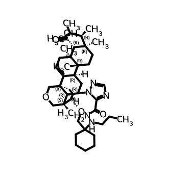 CCCNC1(CO[C@H]2[C@H](n3ncnc3C(N)=O)C[C@@]34COC[C@]2(C)[C@@H]3CC[C@H]2C4=CC[C@@]3(C)[C@H](C(=O)O)[C@@](C)([C@H](C)C(C)C)CC[C@]23C)CCCCC1